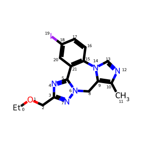 CCOCc1nc2n(n1)Cc1c(C)ncn1-c1ccc(I)cc1-2